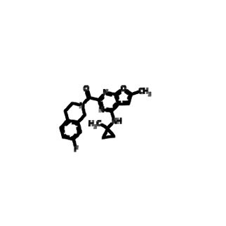 Cc1cc2c(NC3(C)CC3)nc(C(=O)N3CCc4ccc(F)cc4C3)nc2o1